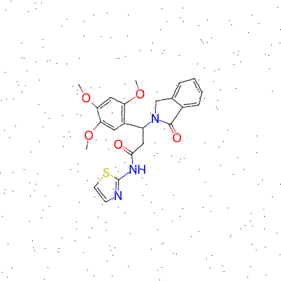 COc1cc(OC)c(C(CC(=O)Nc2nccs2)N2Cc3ccccc3C2=O)cc1OC